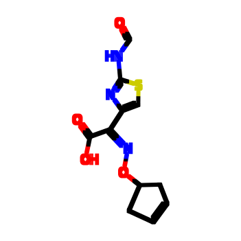 O=CNc1nc(/C(=N/OC2CC=CC2)C(=O)O)cs1